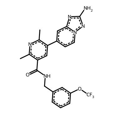 Cc1nc(C)c(-c2ccn3nc(N)nc3c2)cc1C(=O)NCc1cccc(OC(F)(F)F)c1